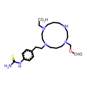 NC(=S)Nc1ccc(CCN2CCCN(COC=O)CCNCCCN(CC(=O)O)CC2)cc1